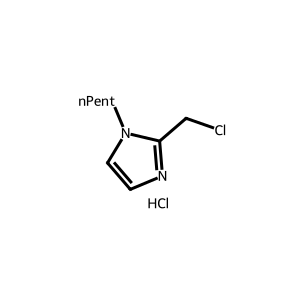 CCCCCn1ccnc1CCl.Cl